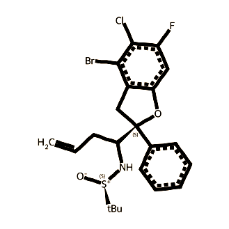 C=CCC(N[S@+]([O-])C(C)(C)C)[C@@]1(c2ccccc2)Cc2c(cc(F)c(Cl)c2Br)O1